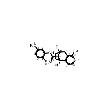 O=C(Nc1cc(C(F)(F)F)ccc1F)N1[C@@H]2CC[C@H]1c1ccnc(F)c1C2